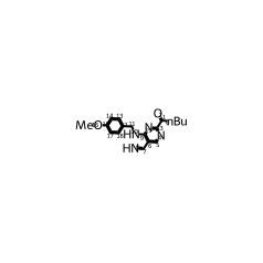 CCCCC(=O)c1ncc(C=N)c(NCc2ccc(OC)cc2)n1